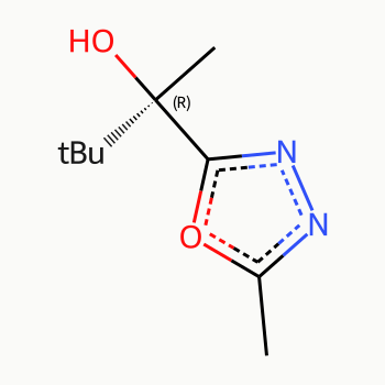 Cc1nnc([C@](C)(O)C(C)(C)C)o1